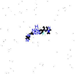 C=C/C(=C\c1c(C)nc(C)n1C(C)C)c1cc(Nc2ncc(CN3CC4(CN(C)C4)C3)cn2)ncc1F